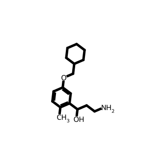 Cc1ccc(OCC2CCCCC2)cc1C(O)CCN